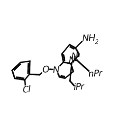 CCCC1N=C2C(N)=CC=C3N(OCc4ccccc4Cl)C=CCC32N1CC(C)C